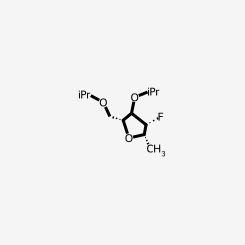 CC(C)OC[C@H]1O[C@@H](C)[C@@H](F)C1OC(C)C